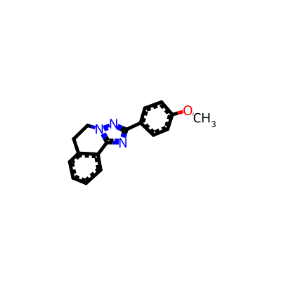 COc1ccc(-c2nc3n(n2)CCc2ccccc2-3)cc1